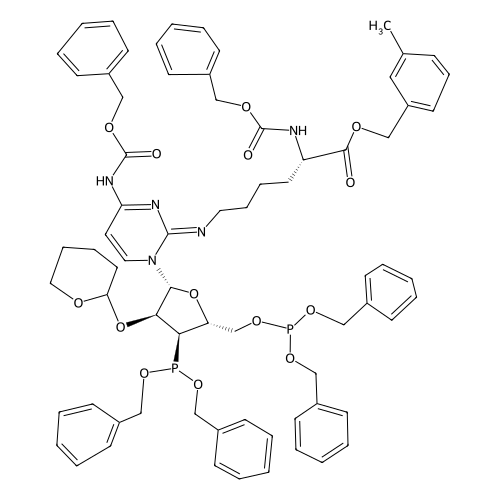 Cc1cccc(COC(=O)[C@H](CCCC/N=c2\nc(NC(=O)OCc3ccccc3)ccn2[C@@H]2O[C@H](COP(OCc3ccccc3)OCc3ccccc3)[C@@H](P(OCc3ccccc3)OCc3ccccc3)[C@H]2OC2CCCCO2)NC(=O)OCc2ccccc2)c1